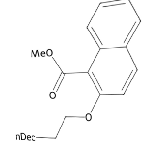 CCCCCCCCCCCCOc1ccc2ccccc2c1C(=O)OC